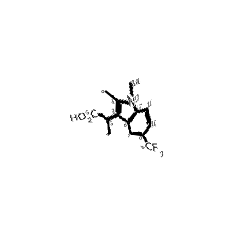 Cc1c(C(C)C(=O)O)c2cc(C(F)(F)F)ccc2n1C